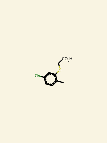 Cc1ccc(Cl)cc1SCC(=O)O